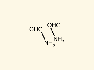 NC=O.NC=O